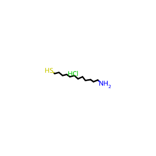 Cl.NCCCCCCCCCCCCS